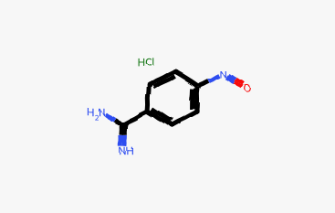 Cl.N=C(N)c1ccc(N=O)cc1